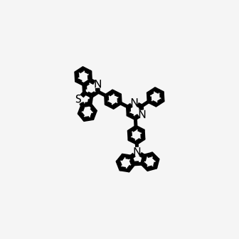 c1ccc(-c2nc(-c3ccc(-c4nc5ccccc5c5sc6ccccc6c45)cc3)cc(-c3ccc(-n4c5ccccc5c5ccccc54)cc3)n2)cc1